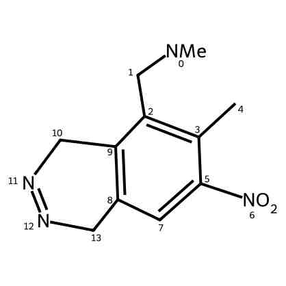 CNCc1c(C)c([N+](=O)[O-])cc2c1CN=NC2